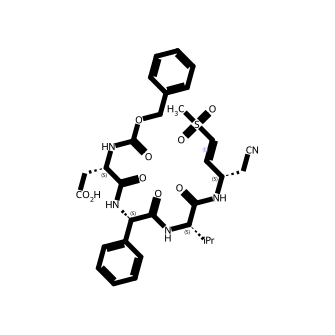 CC(C)[C@H](NC(=O)[C@@H](NC(=O)[C@H](CC(=O)O)NC(=O)OCc1ccccc1)c1ccccc1)C(=O)N[C@H](/C=C/S(C)(=O)=O)CC#N